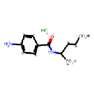 Cl.Nc1ccc(C(=O)NC(CCC(=O)O)C(=O)O)cc1